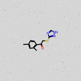 Cc1ccc(C(=O)CSc2nc[nH]n2)c(C)c1